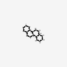 [c]1cccc2c1c[c]c1c3ccccc3ccc12